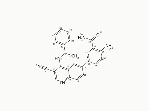 CC(Nc1c(C#N)cnc2ccc(-c3cnc(N)c(C(N)=O)c3)cc12)c1ccccc1